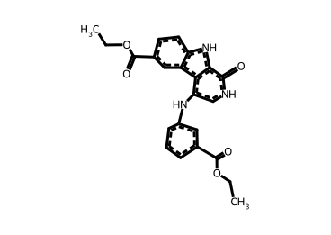 CCOC(=O)c1cccc(Nc2c[nH]c(=O)c3[nH]c4ccc(C(=O)OCC)cc4c23)c1